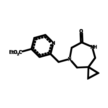 CCOC(=O)c1ccnc(CN2CC(=O)NCC3(CC3)C2)c1